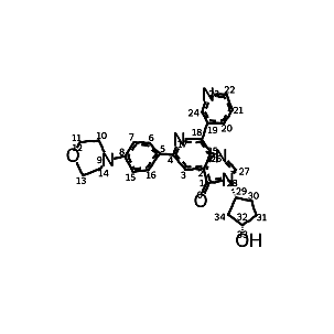 O=c1c2cc(-c3ccc(N4CCOCC4)cc3)nc(-c3cccnc3)c2ncn1[C@@H]1CC[C@H](O)C1